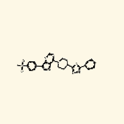 CS(=O)(=O)c1ccc(-c2csc3c(N4CCC(c5nc(-c6ccccc6)no5)CC4)ncnc23)cc1